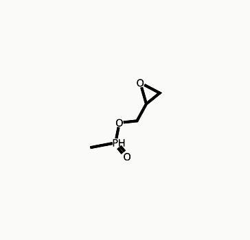 C[PH](=O)OCC1CO1